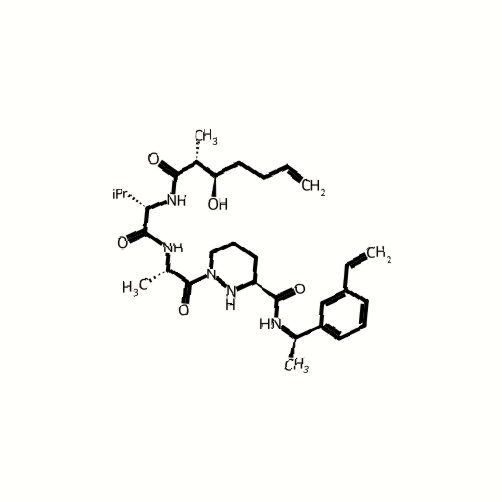 C=CCC[C@@H](O)[C@@H](C)C(=O)N[C@H](C(=O)N[C@@H](C)C(=O)N1CCC[C@@H](C(=O)N[C@H](C)c2cccc(C=C)c2)N1)C(C)C